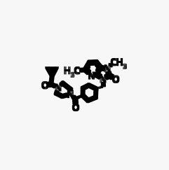 Cc1ccc2c(n1)n(C[C@H]1CC[C@H](C(=O)N3CCN(C(=O)C4CC4)CC3)CC1)c(=O)n2C